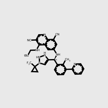 Cc1c(-c2ccccn2)cccc1[C@H](Nc1cc(C#N)c2ncc(C#N)c(NCC(C)(C)C)c2c1)C1=CN(C2(C(F)(F)F)CC2)NN1